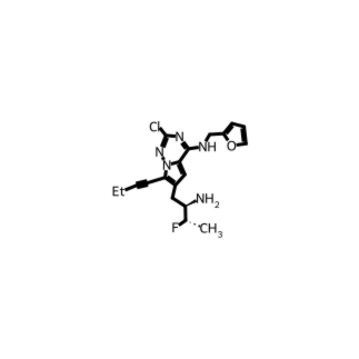 CCC#Cc1c(C[C@@H](N)[C@H](C)F)cc2c(NCc3ccco3)nc(Cl)nn12